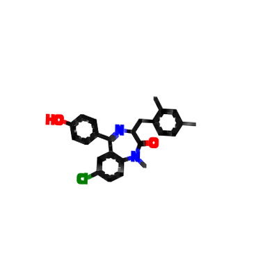 Cc1ccc(CC2N=C(c3ccc(O)cc3)c3cc(Cl)ccc3N(C)C2=O)c(C)c1